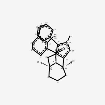 COc1cccc(C(=O)N2[C@H]3CCC[C@@H]2c2nn(C)c(-c4ccccc4)c2C3)c1Cl